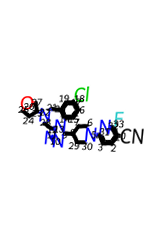 N#Cc1ccc(N2CCC(c3nnc4n3-c3ccc(Cl)cc3CN([C@H]3CCOC3)C4)CC2)nc1F